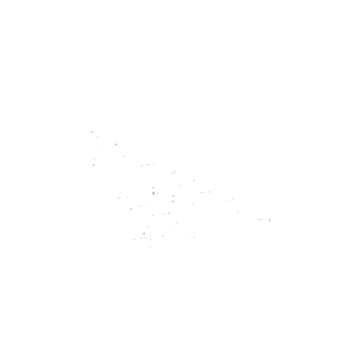 CCCCCCCCCCCCCCCCCC(=O)O.O=C(O)C(O)C(O)C(O)C(O)CO.[MgH2].[Zn]